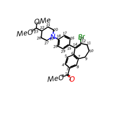 COC(=O)c1ccc2c(c1)CCCC(Br)=C2c1ccc(N2CCC(C(OC)OC)CC2)cc1